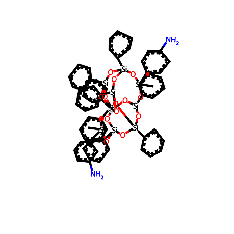 C[Si]1(c2ccc(N)cc2)O[Si]2(c3ccccc3)O[Si]3(c4ccccc4)O[Si]4(c5ccccc5)O[Si](C)(c5cccc(N)c5)O[Si]5(c6ccccc6)O[Si](c6ccccc6)(O[Si](c6ccccc6)(O1)O[Si](c1ccccc1)(O5)O[Si](c1ccccc1)(O2)O4)O3